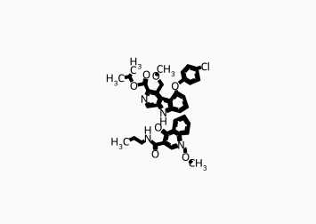 CCCNC(=O)c1cn(COC)c2ccccc2c1=O.COCc1c(C(=O)OC(C)C)ncc2[nH]c3cccc(Oc4ccc(Cl)cc4)c3c12